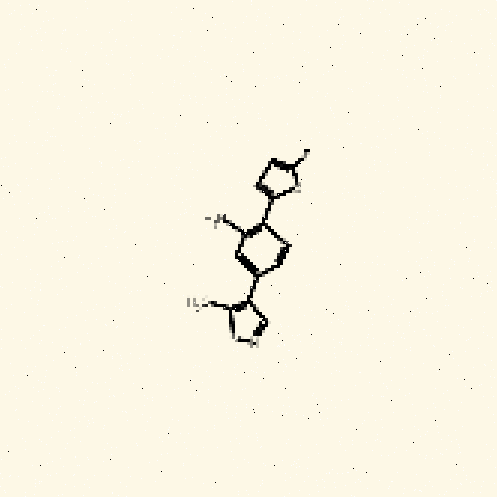 Cc1sncc1-c1ccc(-c2ccc(F)s2)c(N)c1